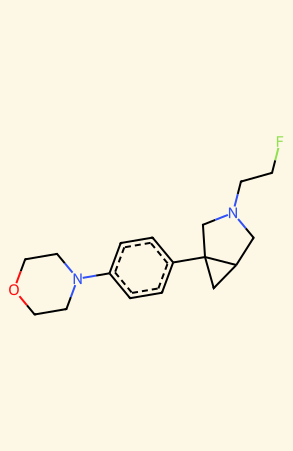 FCCN1CC2CC2(c2ccc(N3CCOCC3)cc2)C1